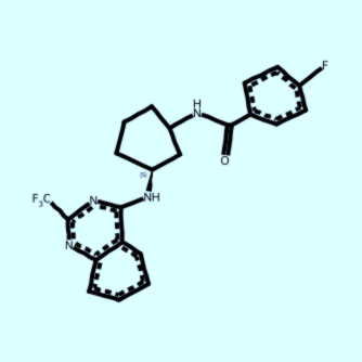 O=C(NC1CCC[C@H](Nc2nc(C(F)(F)F)nc3ccccc23)C1)c1ccc(F)cc1